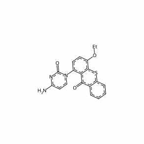 CCOc1ccc(-n2ccc(N)nc2=O)c2c(=O)c3ccccc3sc12